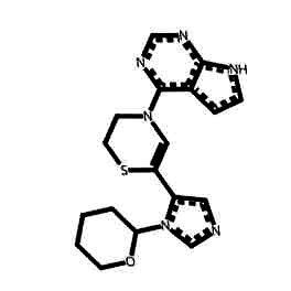 C1=C(c2cncn2C2CCCCO2)SCCN1c1ncnc2[nH]ccc12